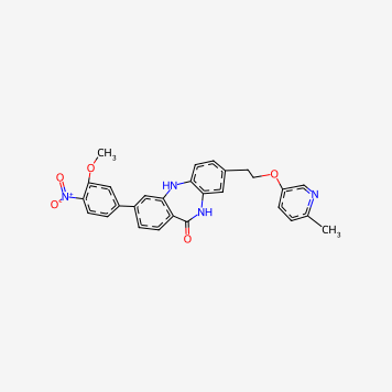 COc1cc(-c2ccc3c(c2)Nc2ccc(CCOc4ccc(C)nc4)cc2NC3=O)ccc1[N+](=O)[O-]